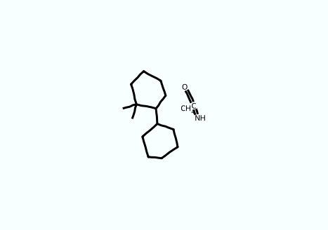 C.CC1(C)CCCCC1C1CCCCC1.N=C=O